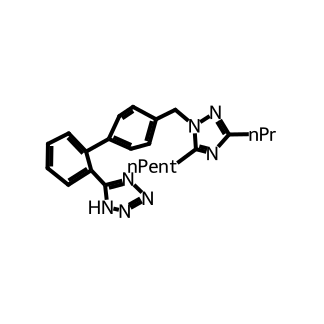 CCCCCc1nc(CCC)nn1Cc1ccc(-c2ccccc2-c2nnn[nH]2)cc1